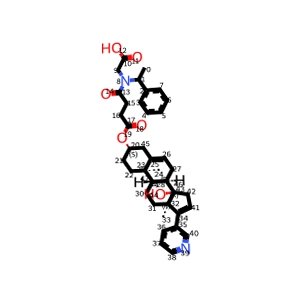 CC(c1ccccc1)N(CC(=O)O)C(=O)CCC(=O)O[C@H]1CC[C@@]2(C)C(=CC[C@@H]3[C@@H]2CC[C@]2(C)C(c4cccnc4)=CC[C@@]32O)C1